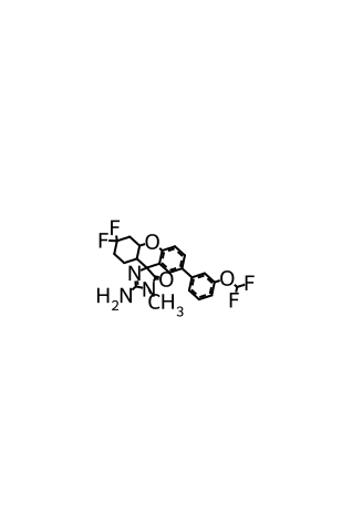 CN1C(=O)C2(N=C1N)c1cc(-c3cccc(OC(F)F)c3)ccc1OC1CC(F)(F)CCC12